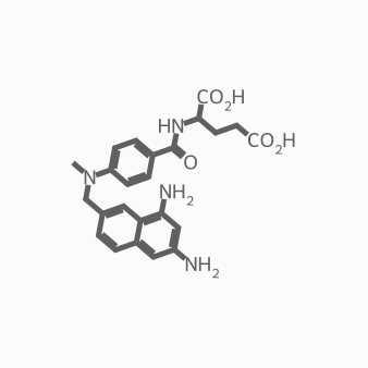 CN(Cc1ccc2cc(N)cc(N)c2c1)c1ccc(C(=O)NC(CCC(=O)O)C(=O)O)cc1